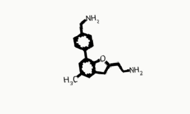 Cc1cc2c(c(-c3ccc(CN)cc3)c1)OC(CCN)C2